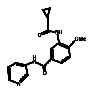 COc1ccc(C(=O)Nc2cccnc2)cc1NC(=O)C1CC1